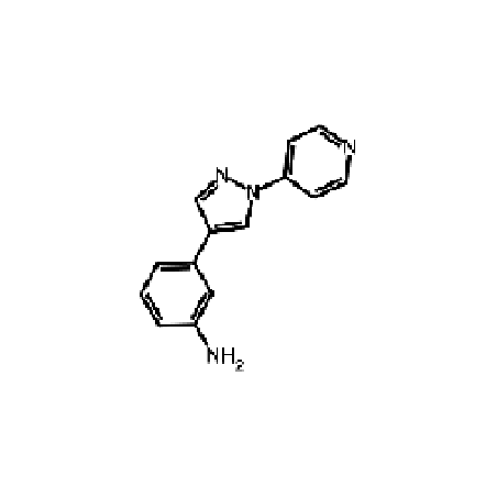 Nc1cccc(-c2cnn(-c3ccncc3)c2)c1